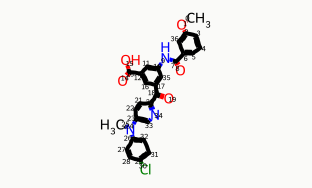 COc1cccc(C(=O)Nc2cc(C(=O)O)cc(C(=O)c3ccc(N(C)c4ccc(Cl)cc4)cn3)c2)c1